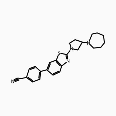 N#Cc1ccc(-c2ccc3nc(N4CCC(N5CCCCCC5)C4)sc3c2)cc1